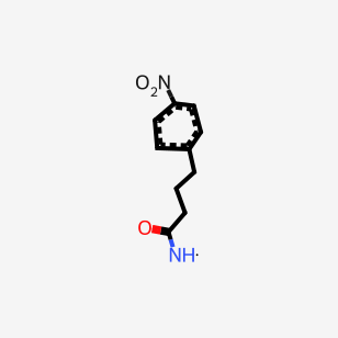 [NH]C(=O)CCCc1ccc([N+](=O)[O-])cc1